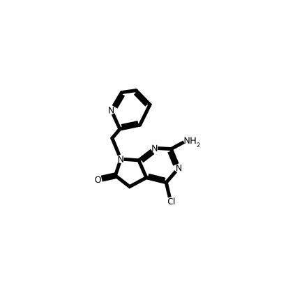 Nc1nc(Cl)c2c(n1)N(Cc1ccccn1)C(=O)C2